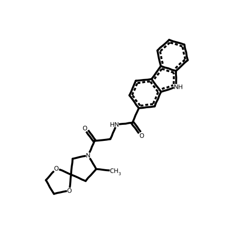 CC1CC2(CN1C(=O)CNC(=O)c1ccc3c(c1)[nH]c1ccccc13)OCCO2